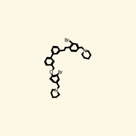 Brc1cc(CN2CCCCC2)ccc1CCc1cccc(-c2cccc(COc3ccc(CN4CCCCC4)cc3Br)c2)c1